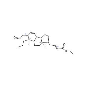 CCC[C@@]1(C)/C(=C\C=O)C=CC2C3CCC(C/C=C/C(=O)OCC)[C@@]3(C)CCC21